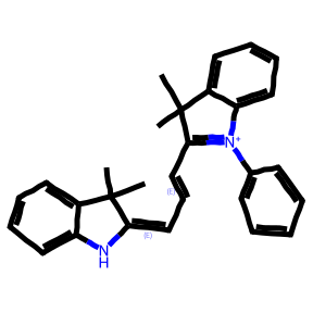 CC1(C)C(/C=C/C=C2/Nc3ccccc3C2(C)C)=[N+](c2ccccc2)c2ccccc21